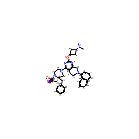 CN(C)C1CC(Oc2nc3c(c(N4CCN(C(=O)O)[C@](CC#N)(Cc5ccccc5)C4)n2)CCN(c2cccc4ccccc24)C3)C1